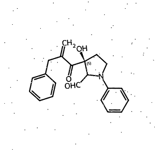 C=C(Cc1ccccc1)C(=O)[C@]1(O)CCN(c2ccccc2)C1C=O